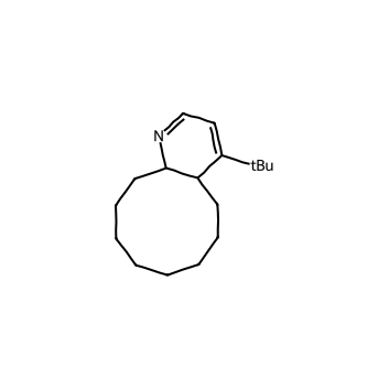 CC(C)(C)C1=CC=NC2CCCCCCCCC12